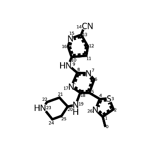 Cc1csc(-c2cnc(Nc3ccc(C#N)nc3)nc2NC2CCNCC2)n1